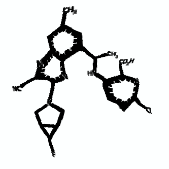 Cc1cc([C@@H](C)Nc2ccc(Cl)nc2C(=O)O)c2nc(N3CC4C(F)C4C3)c(C#N)nc2c1